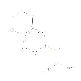 CCCC(=O)Sc1ccc2c(c1)CCCO2